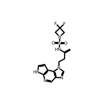 C=C(CCn1cnc2cnc3[nH]ccc3c21)NS(=O)(=O)N1CC(F)(F)C1